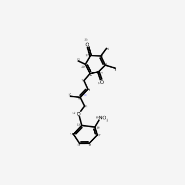 CC1=C(C)C(=O)C(C/C=C(\C)COc2ccccc2[N+](=O)[O-])=C(C)C1=O